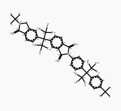 CC(C)(C)c1ccc(C(c2ccc(N3C(=O)c4ccc(C(c5ccc6c(c5)CN(C(C)(C)C)C6=O)(C(F)(F)F)C(F)(F)F)cc4C3=O)cc2)(C(F)(F)F)C(F)(F)F)cc1